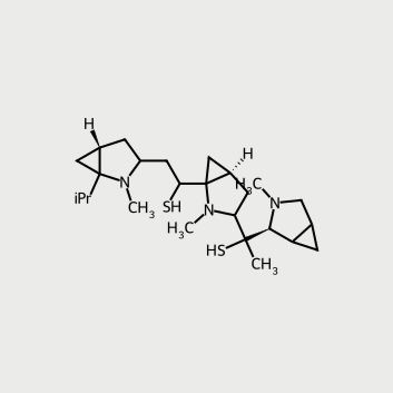 CC(C)C12C[C@@H]1CC(CC(S)C13C[C@H]1CC(C(C)(S)[C@@H]1C4CC4CN1C)N3C)N2C